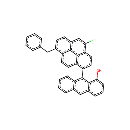 Oc1cccc2cc3ccccc3c(-c3ccc4c(Cl)cc5ccc(Cc6ccccc6)c6ccc3c4c56)c12